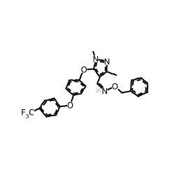 Cc1nn(C)c(Oc2ccc(Oc3ccc(C(F)(F)F)cc3)cc2)c1/C=N\OCc1ccccc1